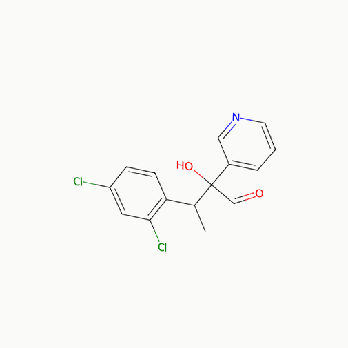 CC(c1ccc(Cl)cc1Cl)C(O)(C=O)c1cccnc1